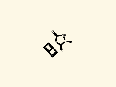 Cn1[nH]c(=O)[nH]c1=O.c1cc2ccc1-2